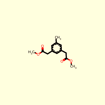 COC(=O)Cc1cc(C)cc(CC(=O)OC)c1